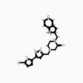 O=C1CN(Cc2cc(-c3ccc(Cl)s3)on2)CCN1Cc1cc2cnccc2[nH]1